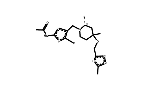 CC(=O)Nc1nc(F)c(CN2CCC(C)(OCc3nnc(C)o3)C[C@H]2C)s1